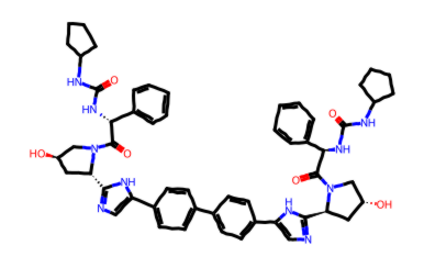 O=C(NC1CCCC1)N[C@@H](C(=O)N1C[C@H](O)C[C@H]1c1ncc(-c2ccc(-c3ccc(-c4cnc([C@@H]5C[C@@H](O)CN5C(=O)[C@H](NC(=O)NC5CCCC5)c5ccccc5)[nH]4)cc3)cc2)[nH]1)c1ccccc1